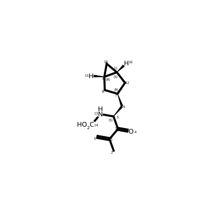 C=C(C)C(=O)[C@H](C[C@H]1C[C@@H]2C[C@@H]2C1)NC(=O)O